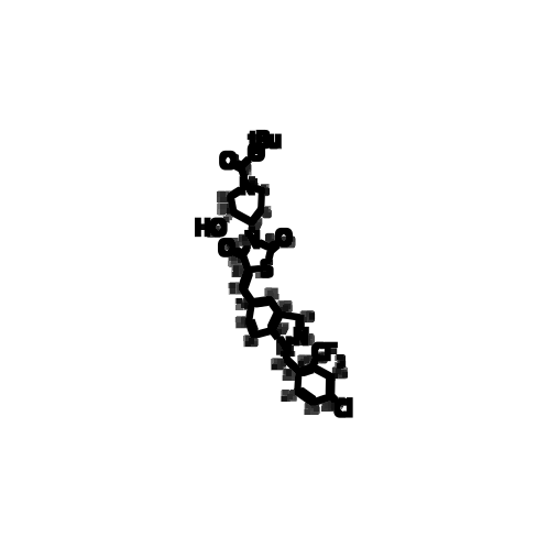 CC(C)(C)OC(=O)N1CC[C@@H](N2C(=O)SC(=Cc3ccc4c(cnn4Cc4ccc(Cl)cc4C(F)(F)F)c3)C2=O)[C@H](O)C1